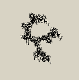 CC1(C)c2ccccc2-c2ccc(-n3c4ccccc4c4cc(-c5ccc6c(c5)c5ccccc5n6-c5ccc(C6=NC(c7ccc(-n8c9ccc(-c%10ccc%11c(c%10)c%10ccccc%10n%11-c%10ccc%11c(c%10)C(C)(C)c%10ccccc%10-%11)cc9c9cc(-c%10ccc%11c(c%10)c%10ccccc%10n%11-c%10ccc%11c(c%10)C(C)(C)c%10ccccc%10-%11)ccc98)cc7)Nc7ccccc76)cc5)ccc43)cc21